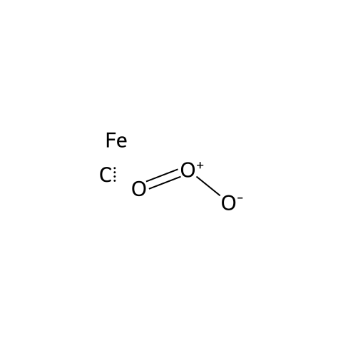 O=[O+][O-].[C].[Fe]